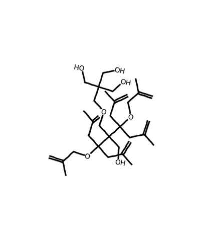 C=C(C)COC(CC(=C)C)(CC(=C)C)C(CO)(COCC(CO)(CO)CO)C(CC(=C)C)(CC(=C)C)OCC(=C)C